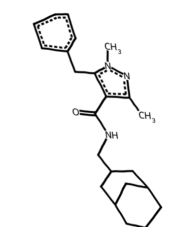 Cc1nn(C)c(Cc2ccccc2)c1C(=O)NCC1CC2CCCC(C2)C1